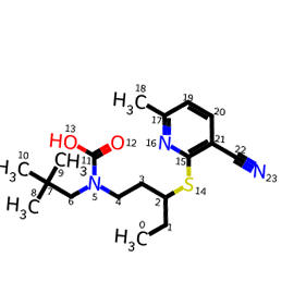 CCC(CCN(CC(C)(C)C)C(=O)O)Sc1nc(C)ccc1C#N